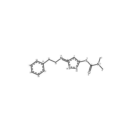 CN(C)C(=O)Sc1c/c(=N/CCc2ccccc2)ss1